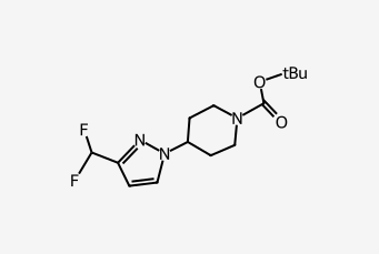 CC(C)(C)OC(=O)N1CCC(n2ccc(C(F)F)n2)CC1